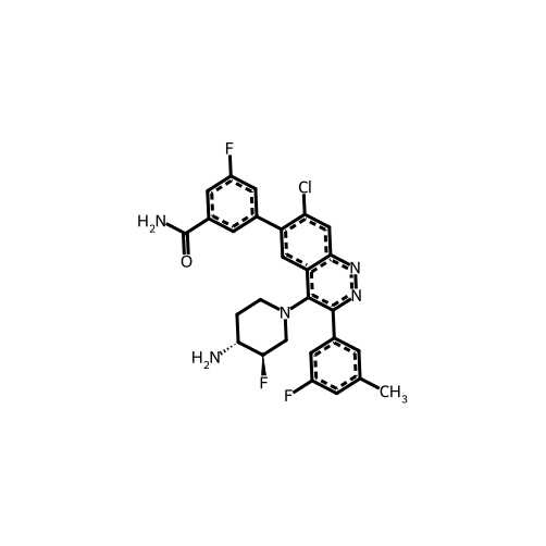 Cc1cc(F)cc(-c2nnc3cc(Cl)c(-c4cc(F)cc(C(N)=O)c4)cc3c2N2CC[C@@H](N)[C@H](F)C2)c1